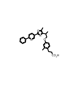 Cc1cc(OCC(C)c2nc(-c3ccc(-c4ccccc4)nc3)oc2C)ccc1CCC(=O)O